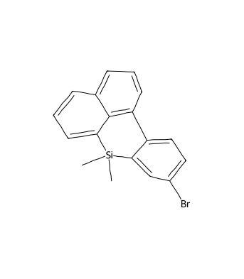 C[Si]1(C)c2cc(Br)ccc2-c2cccc3cccc1c23